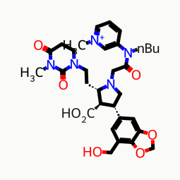 CCCCN(C(=O)CN1C[C@H](c2cc(CO)c3c(c2)OCO3)[C@@H](C(=O)O)[C@@H]1CCN1CCC(=O)N(C)C1=O)c1ccc[n+](C)c1